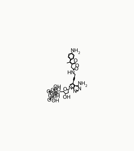 Cc1c(CC(=O)NCC#Cc2cn([C@H]3C[C@@H](O)C(COP(=O)(O)OP(=O)(O)OP(=O)(O)O)O3)c3ncnc(N)c23)c(=O)oc2cc(N)ccc12